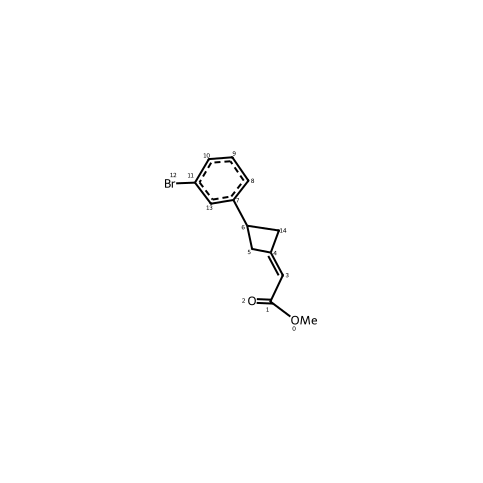 COC(=O)C=C1CC(c2cccc(Br)c2)C1